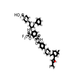 CC1(C)CCC(CN2CCN(c3ccc(C(=O)NS(=O)(=O)c4ccc(NC(CCN5CCN(C(=O)O)CC5)CSc5ccccc5)c(S(=O)(=O)C(F)(F)F)c4)cc3)CC2)=C(C23CC(C(F)F)(C2)C3)C1